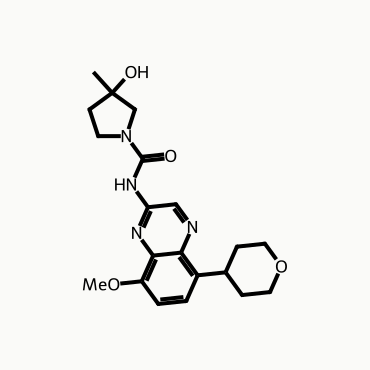 COc1ccc(C2CCOCC2)c2ncc(NC(=O)N3CCC(C)(O)C3)nc12